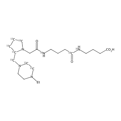 CCN1CCN([13CH2][13CH]2[13CH2][13CH2][13CH2]N2CC(=O)[15NH]CCC[13C](=O)[15NH]CCC[13C](=O)O)[13CH2][13CH2]1